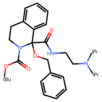 CC(C)N(CCNC(=O)C1(OCc2ccccc2)c2ccccc2CCN1C(=O)OC(C)(C)C)C(C)C